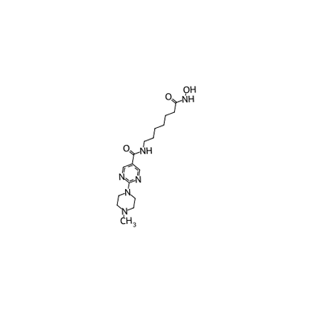 CN1CCN(c2ncc(C(=O)NCCCCCCC(=O)NO)cn2)CC1